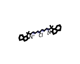 CN1\C(=C/C=C/C(Cl)=C/C=C/C2=[N+](C)c3ccc4ccccc4c3C2(C)C)C(C)(C)c2c1ccc1ccccc21